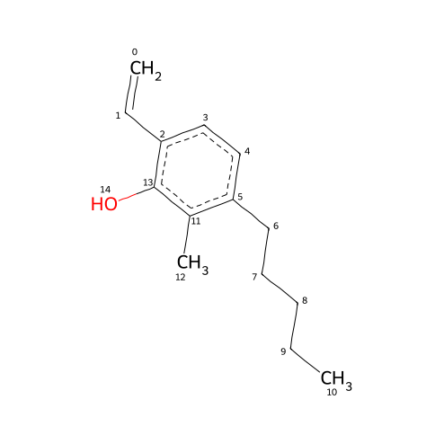 C=Cc1ccc(CCCCC)c(C)c1O